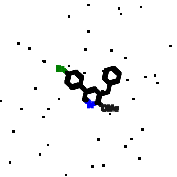 COc1ncc(-c2ccc(Br)cc2)cc1Cc1ccccc1